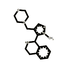 Cn1ncc(CN2CCOCC2)c1C1NCCc2ccccc21